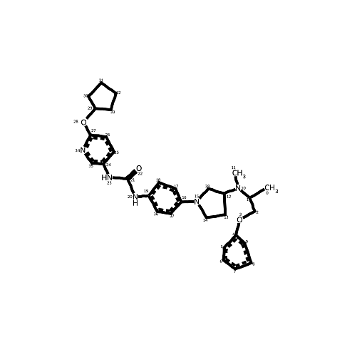 CC(COc1ccccc1)N(C)C1CCN(c2ccc(NC(=O)Nc3ccc(OC4CCCC4)nc3)cc2)C1